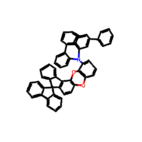 c1ccc(-c2cccc(N(c3ccccc3-c3ccccc3)c3cccc4c3Oc3c(ccc5c3-c3ccccc3C53c5ccccc5-c5ccccc53)O4)c2)cc1